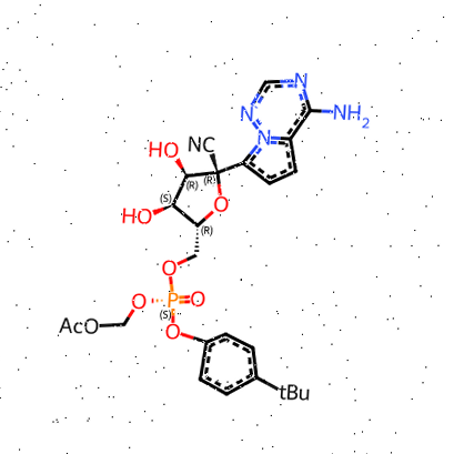 CC(=O)OCO[P@@](=O)(OC[C@H]1O[C@@](C#N)(c2ccc3c(N)ncnn23)[C@H](O)[C@@H]1O)Oc1ccc(C(C)(C)C)cc1